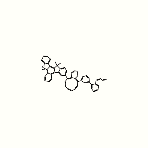 C=C/C=C\c1ccccc1-c1cccc(-c2ccccccc(-c3ccc4c(c3)-c3c(c5c6ccccc6sc5c5ccccc35)C4(C)C)c3ccccc23)c1